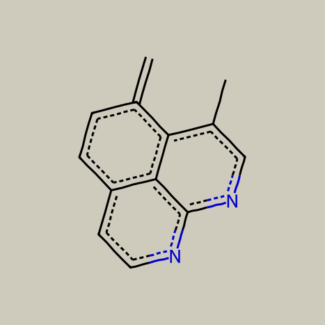 C=c1ccc2ccnc3ncc(C)c1c23